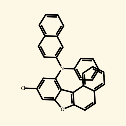 Clc1cc(N(c2ccccc2)c2ccc3ccccc3c2)c2c(c1)oc1ccc3ccccc3c12